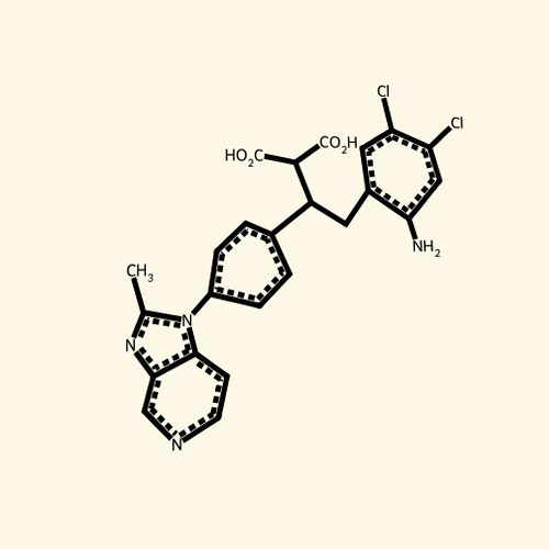 Cc1nc2cnccc2n1-c1ccc(C(Cc2cc(Cl)c(Cl)cc2N)C(C(=O)O)C(=O)O)cc1